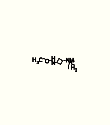 CCOCNC1CC(NC(C)I)C1